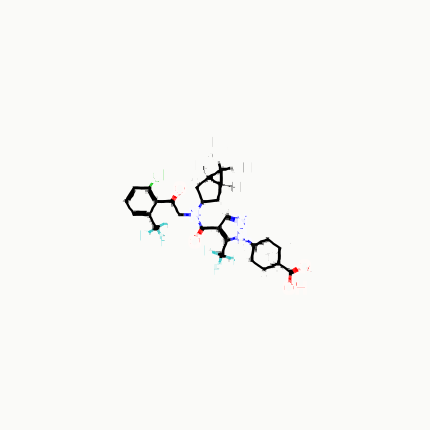 CC1(C)[C@@H]2CC(N(CC(=O)c3c(Cl)cccc3C(F)(F)F)C(=O)c3cnn(C45CCC(C(=O)O)(CC4)CC5)c3C(F)(F)F)C[C@@H]21